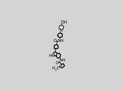 Cn1cccc1C(=O)Nc1ccc2c(-c3ccc(C(=O)Nc4ccc(N5CCC(O)CC5)cc4)cc3)c[nH]c2c1